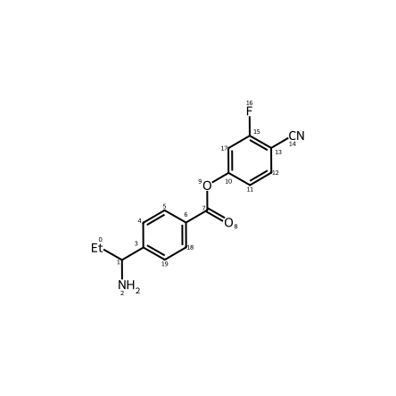 CCC(N)c1ccc(C(=O)Oc2ccc(C#N)c(F)c2)cc1